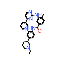 CCN1CCCC(c2ccc(NC(=O)c3ccc(C)c(Nc4nccc(-c5cccnc5)n4)c3)cc2)C1